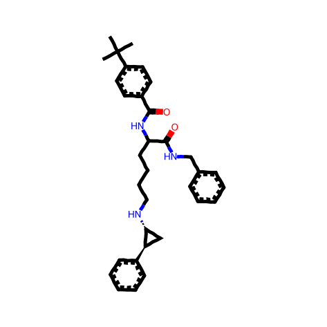 CC(C)(C)c1ccc(C(=O)NC(CCCCN[C@@H]2C[C@H]2c2ccccc2)C(=O)NCc2ccccc2)cc1